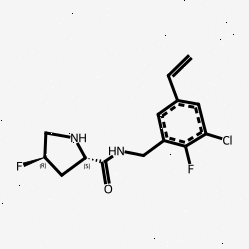 C=Cc1cc(Cl)c(F)c(CNC(=O)[C@@H]2C[C@@H](F)CN2)c1